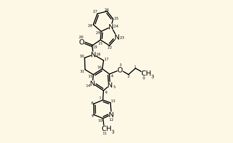 CCCOc1nc(-c2ccc(C)nc2)nc2c1CN(C(=O)c1cnn3ccccc13)CC2